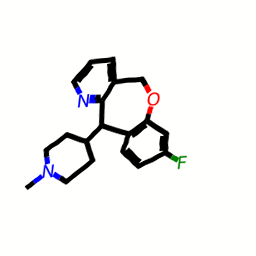 CN1CCC(C2c3ccc(F)cc3OCc3cccnc32)CC1